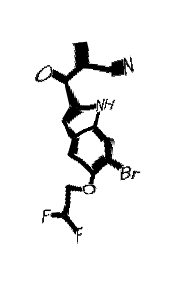 C=C(C#N)C(=O)c1cc2cc(OCC(F)F)c(Br)cc2[nH]1